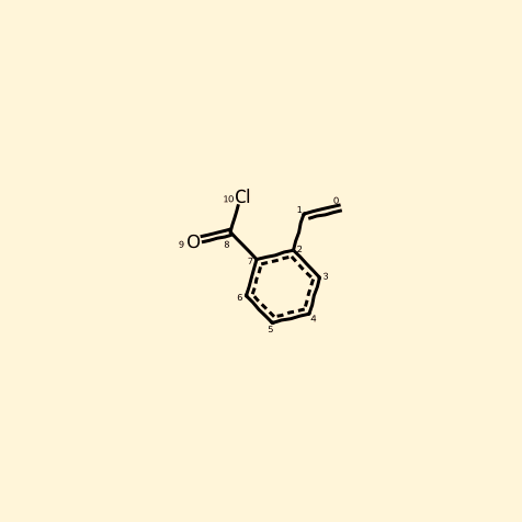 C=Cc1ccccc1C(=O)Cl